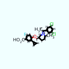 C[C@@H]1CC[C@@H](COc2cc(F)c(C(=O)O)cc2C2CC2)CN1[C@H](C)c1cc(Cl)cc(Cl)c1